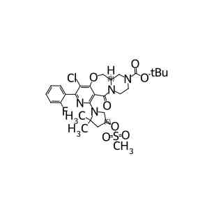 CC(C)(C)OC(=O)N1CCN2C(=O)c3c(N4C[C@@H](OS(C)(=O)=O)CC4(C)C)nc(-c4ccccc4F)c(Cl)c3OC[C@H]2C1